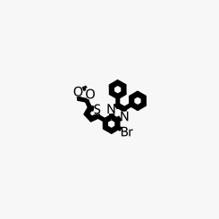 Brc1ccc(-c2ccc(C3COCO3)s2)c2nc(-c3ccccc3)c(-c3ccccc3)nc12